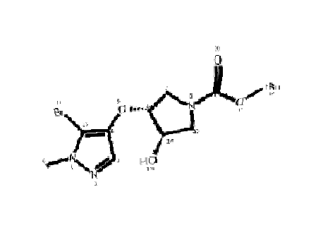 Cn1ncc(O[C@@H]2CN(C(=O)OC(C)(C)C)C[C@H]2O)c1Br